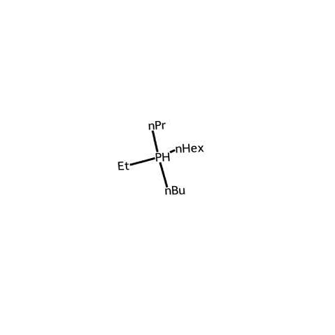 CCCCCC[PH](CC)(CCC)CCCC